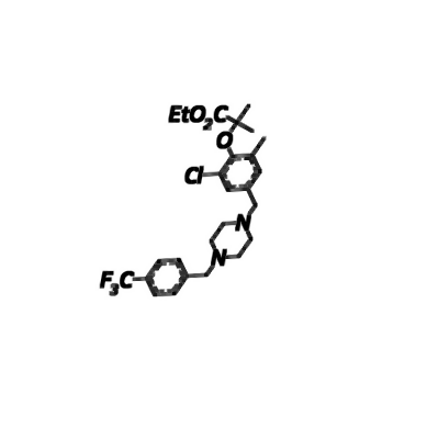 CCOC(=O)C(C)(C)Oc1c(C)cc(CN2CCN(Cc3ccc(C(F)(F)F)cc3)CC2)cc1Cl